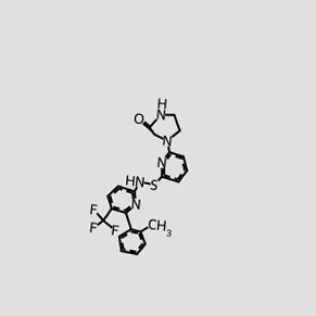 Cc1ccccc1-c1nc(NSc2cccc(N3CCNC(=O)C3)n2)ccc1C(F)(F)F